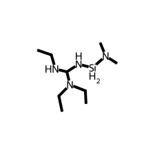 CCNC(N[SiH2]N(C)C)N(CC)CC